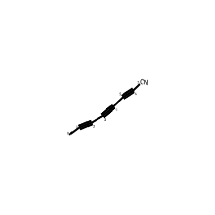 CC#CC#CC#CC#N